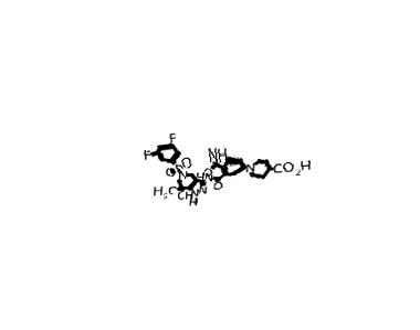 CC1(C)CN(S(=O)(=O)c2cc(F)cc(F)c2)Cc2c(NC(=O)c3cc(N4CCC(C(=O)O)CC4)ccc3C(N)=O)n[nH]c21